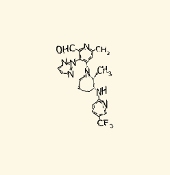 Cc1cc(N2CCC[C@@H](Nc3ccc(C(F)(F)F)cn3)[C@@H]2C)c(-n2nccn2)c(C=O)n1